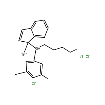 CCCCC[SiH](c1cc(C)cc(C)c1)[C]1([Ti+3])C=Cc2ccccc21.[Cl-].[Cl-].[Cl-]